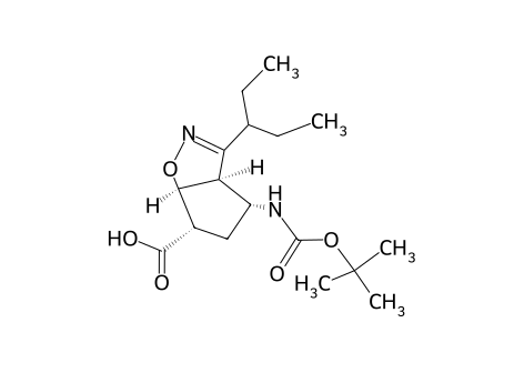 CCC(CC)C1=NO[C@H]2[C@@H]1[C@H](NC(=O)OC(C)(C)C)C[C@@H]2C(=O)O